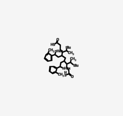 CCCCCCC(CC(CC(CC(CCCCCC)c1ccccc1C)C(CCC(=O)S)C(C)C(C)(C)C)C(CCC(=O)S)C(C)C(C)(C)C)c1ccccc1C